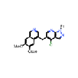 CCn1ncc2c(Cl)c(Cc3cncc4cc(OC)c(OC)cc34)cnc21